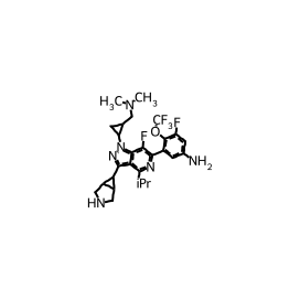 CC(C)c1nc(-c2cc(N)cc(F)c2OC(F)(F)F)c(F)c2c1c(C1C3CNCC31)nn2C1CC1CN(C)C